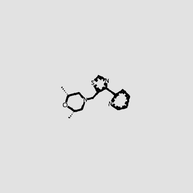 C[C@@H]1CN(Cc2scnc2-c2ccccn2)C[C@H](C)O1